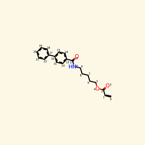 C=CC(=O)OCCCCCNC(=O)c1ccc(-c2ccccc2)cc1